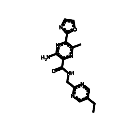 CCc1cnc(CNC(=O)c2nc(C)c(-c3ncco3)nc2N)nc1